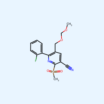 COCOCc1cc(C#N)c(S(C)(=O)=O)nc1-c1ccccc1F